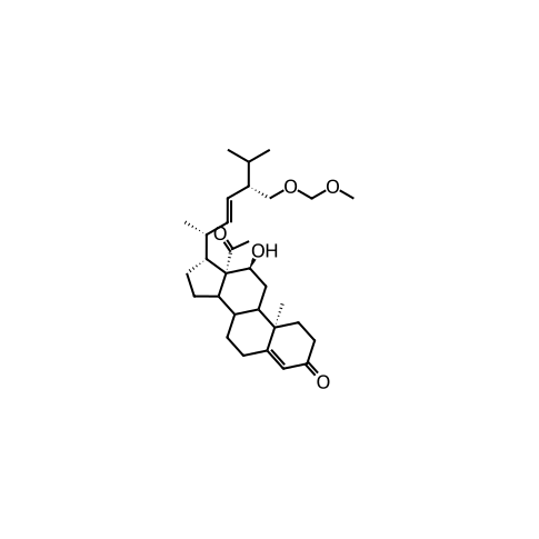 COCOC[C@H](/C=C/[C@@H](C)[C@H]1CCC2C3CCC4=CC(=O)CC[C@]4(C)C3C[C@H](O)[C@@]21C(C)=O)C(C)C